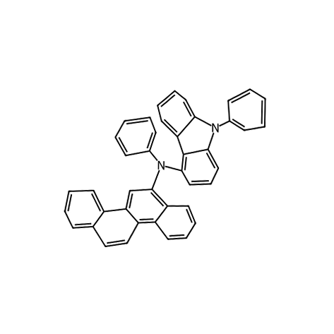 c1ccc(N(c2cc3c4ccccc4ccc3c3ccccc23)c2cccc3c2c2ccccc2n3-c2ccccc2)cc1